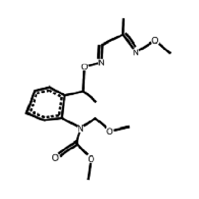 COCN(C(=O)OC)c1ccccc1C(C)ON=CC(C)=NOC